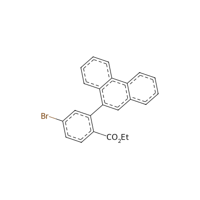 CCOC(=O)c1ccc(Br)cc1-c1cc2ccccc2c2ccccc12